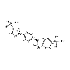 CS(=O)(=Nc1ccc(C2=NOC(C(F)(F)F)N2)cc1)c1ccc(C(F)(F)F)cc1